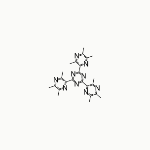 Cc1nc(C)c(-c2nc(-c3nc(C)c(C)nc3C)nc(-c3nc(C)c(C)nc3C)n2)nc1C